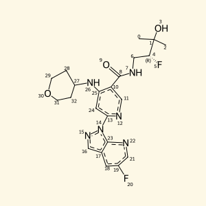 CC(C)(O)[C@H](F)CNC(=O)c1cnc(-n2ncc3cc(F)cnc32)cc1NC1CCOCC1